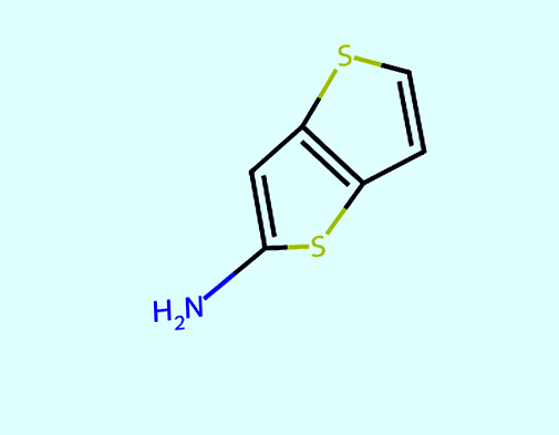 Nc1cc2sccc2s1